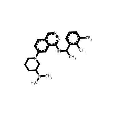 Cc1c(C(C)Nc2nncc3ccc(N4CCCC(N(C)C)C4)cc23)cccc1C(F)(F)F